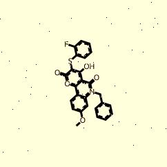 COc1ccc2c3oc(=O)c(Sc4ccccc4F)c(O)c3c(=O)n(Cc3ccccc3)c2c1